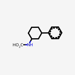 O=C(O)NC1CCCC(c2ccccc2)C1